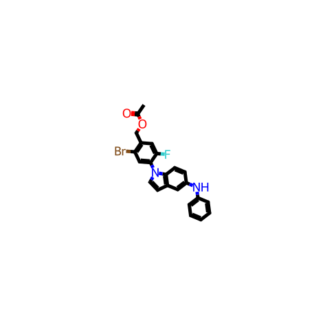 CC(=O)OCc1cc(F)c(-n2ccc3cc(Nc4ccccc4)ccc32)cc1Br